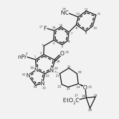 CCCc1c(Cc2ccc(-c3ccccc3C#N)cc2F)c(=O)n([C@H]2CC[C@H](OC3(C(=O)OCC)CC3)CC2)c2ncnn12